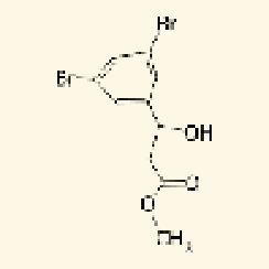 COC(=O)CC(O)c1cc(Br)cc(Br)c1